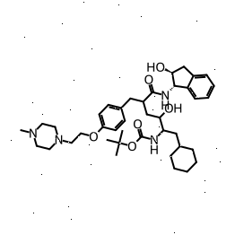 CN1CCN(CCOc2ccc(CC(CC(O)C(CC3CCCCC3)NC(=O)OC(C)(C)C)C(=O)N[C@H]3c4ccccc4C[C@@H]3O)cc2)CC1